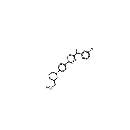 CN(c1cccc(Cl)c1)c1ccc(-c2ccc(C3CCCC(CC(=O)O)C3)cc2)nn1